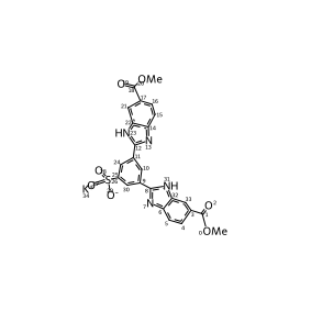 COC(=O)c1ccc2nc(-c3cc(-c4nc5ccc(C(=O)OC)cc5[nH]4)cc(S(=O)(=O)[O-])c3)[nH]c2c1.[K+]